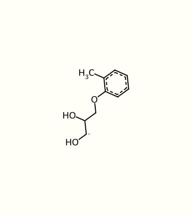 Cc1ccccc1OCC(O)[CH]O